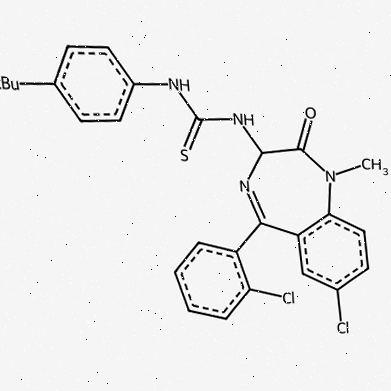 CN1C(=O)C(NC(=S)Nc2ccc(C(C)(C)C)cc2)N=C(c2ccccc2Cl)c2cc(Cl)ccc21